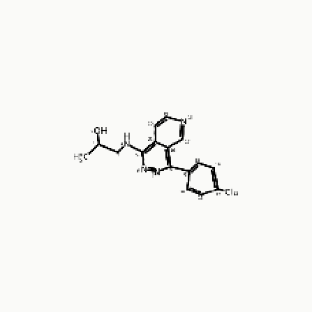 CC(O)CNc1nnc(-c2ccc(Cl)cc2)c2cnccc12